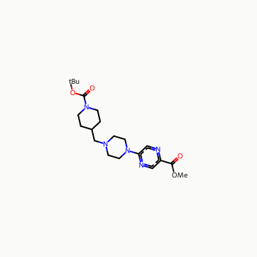 COC(=O)c1cnc(N2CCN(CC3CCN(C(=O)OC(C)(C)C)CC3)CC2)cn1